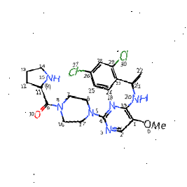 COc1cnc(N2CCN(C(=O)[C@H]3CCCN3)CC2)nc1NC(C)c1ccc(Cl)cc1Cl